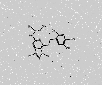 CCC(CO)Nc1nc(NCc2cc(O)c(Cl)cc2O)c2c(n1)c(C(C)C)nn2C(C)C